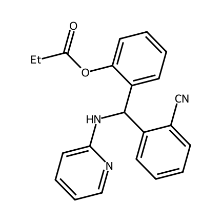 CCC(=O)Oc1ccccc1C(Nc1ccccn1)c1ccccc1C#N